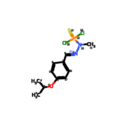 CC(C)Oc1ccc(/C=N/N(C)P(=S)(Cl)Cl)cc1